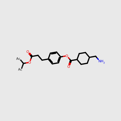 CC(=O)C(OC(=O)CCc1ccc(OC(=O)C2CCC(CN)CC2)cc1)C(C)=O